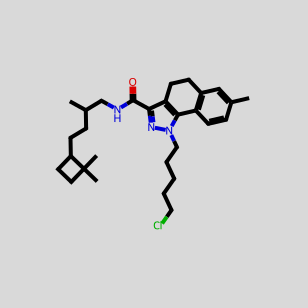 Cc1ccc2c(c1)CCc1c(C(=O)NCC(C)CCC3CCC3(C)C)nn(CCCCCCl)c1-2